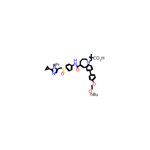 CCCCOCCOc1ccc(-c2ccc3c(c2)/C=C(/C(=O)Nc2ccc([S@@+]([O-])Cc4cnc(C5CC5)n4CCC)cc2)CCCN3CC(C)(C)C(=O)O)cc1